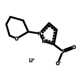 O=S([O-])c1ccn(C2CCCCO2)n1.[Li+]